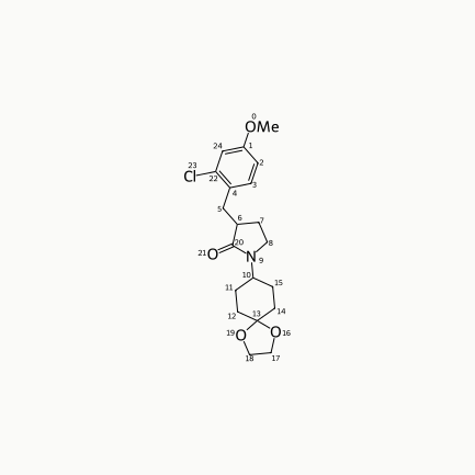 COc1ccc(CC2CCN(C3CCC4(CC3)OCCO4)C2=O)c(Cl)c1